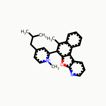 Cc1c(-c2cc(CC(C)C)cc[n+]2C)c2oc3ncccc3c2c2ccccc12